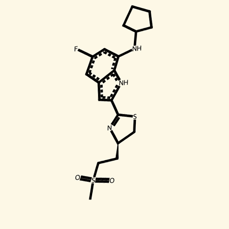 CS(=O)(=O)CC[C@@H]1CSC(c2cc3cc(F)cc(NC4CCCC4)c3[nH]2)=N1